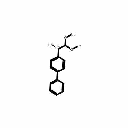 CCOC(OCC)[C@@H](N)c1ccc(-c2ccccc2)cc1